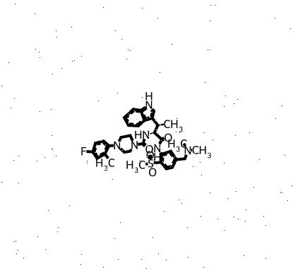 Cc1cc(F)ccc1N1CCN(C(=O)N[C@@H](C(=O)Nc2cc(CN(C)C)ccc2S(C)(=O)=O)[C@H](C)c2c[nH]c3ccccc23)CC1